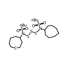 CCCCS(=O)(=O)N(SSSN(C1CCCCCCC1)S(=O)(=O)CCCC)C1CCCCCCC1